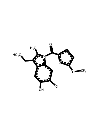 Cc1c(CC(=O)O)c2cc(O)c(Cl)cc2n1C(=O)c1ccc(OC(F)(F)F)s1